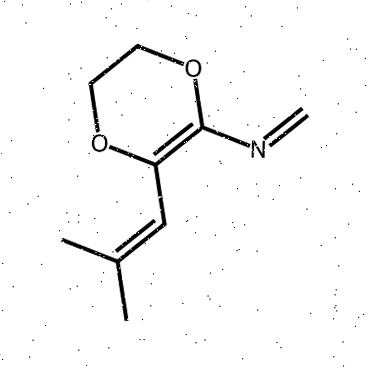 C=NC1=C(C=C(C)C)OCCO1